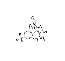 Nc1[nH]nc(NC=O)c1-c1c(Cl)cc(C(F)(F)F)cc1Cl